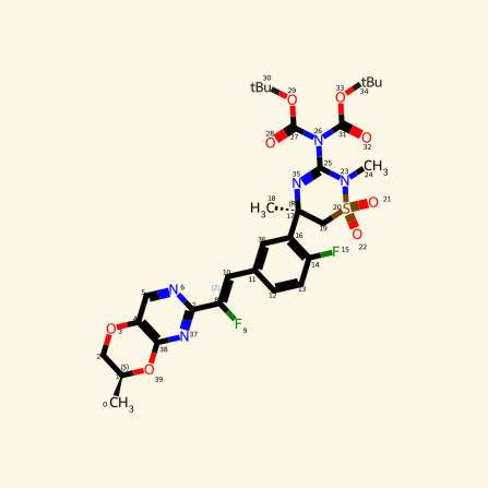 C[C@H]1COc2cnc(/C(F)=C/c3ccc(F)c([C@]4(C)CS(=O)(=O)N(C)C(N(C(=O)OC(C)(C)C)C(=O)OC(C)(C)C)=N4)c3)nc2O1